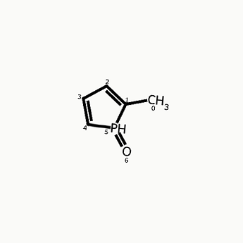 CC1=CC=C[PH]1=O